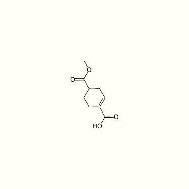 COC(=O)C1CC=C(C(=O)O)CC1